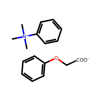 C[N+](C)(C)c1ccccc1.O=C([O-])COc1ccccc1